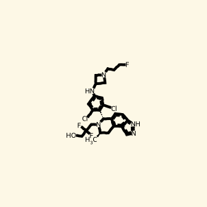 C[C@@H]1Cc2c(ccc3[nH]ncc23)[C@@H](c2c(Cl)cc(NC3CN(CCCF)C3)cc2Cl)N1CC(F)(F)CO